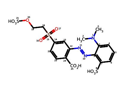 CN(C)c1cccc(S(=O)(=O)O)c1N=Nc1cc(S(=O)(=O)CCOS(=O)(=O)O)ccc1C(=O)O